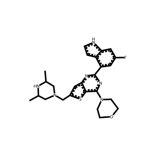 CC1CN(Cc2cc3nc(-c4cc(F)cc5[nH]ccc45)nc(N4CCOCC4)c3s2)CC(C)N1